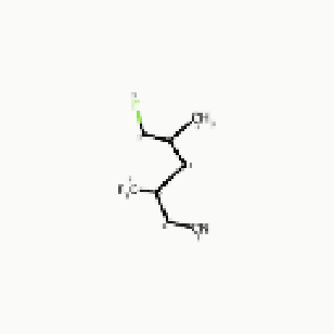 CC(CF)CC(CC#N)C(F)(F)F